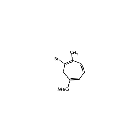 COC1=CC=CC(C)=C(Br)C1